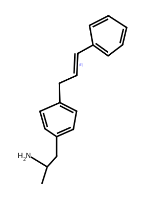 CC(N)Cc1ccc(C/C=C/c2ccccc2)cc1